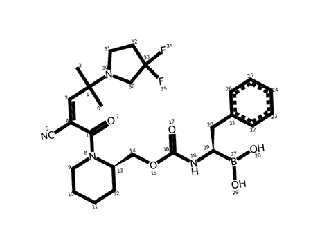 CC(C)(/C=C(/C#N)C(=O)N1CCCC[C@@H]1COC(=O)N[C@@H](Cc1ccccc1)B(O)O)N1CCC(F)(F)C1